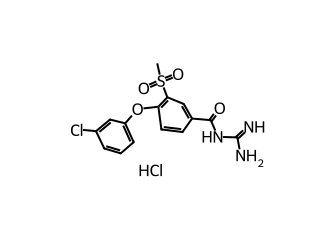 CS(=O)(=O)c1cc(C(=O)NC(=N)N)ccc1Oc1cccc(Cl)c1.Cl